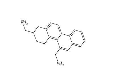 NCc1cc2ccccc2c2ccc3c(c12)CCC(CN)C3